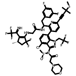 CSC(C)(C)C#Cc1ccc(-c2ccc(Cl)c3c(N(C(=O)CN4CCOCC4)[S+](C)[O-])nn(CC(F)(F)F)c23)c(C(Cc2cc(F)cc(F)c2)NC(=O)CNC2=C(C(=N)C(F)(F)F)[C@@H](C)CC2(F)F)n1